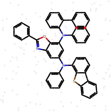 c1ccc(-c2nc3cc(N(c4ccccc4)c4cccc5c4sc4ccccc45)cc(N(c4ccccc4)c4ccccc4-c4ccccc4)c3o2)cc1